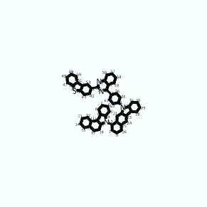 c1cc(-n2c3ccccc3c3c4ccccc4ccc32)c2cc3c(cc2c1)c1ccccc1n3-c1ccc(-c2nc(-c3ccc4sc5ccccc5c4c3)nc3ccccc23)cc1